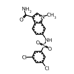 Cn1cc(C(N)=O)c2ccc(NS(=O)(=O)c3cc(Cl)cc(Cl)c3)cc21